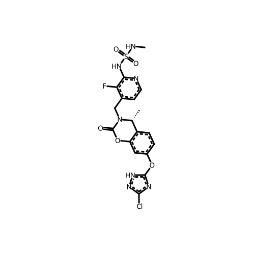 CNS(=O)(=O)Nc1nccc(CN2C(=O)Oc3cc(Oc4nc(Cl)n[nH]4)ccc3[C@H]2C)c1F